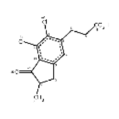 CC1Cc2cc(CCC(=O)O)c(Cl)c(Cl)c2C1=O